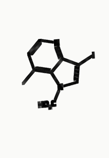 Cc1ccnc2c(I)cn(C(=O)O)c12